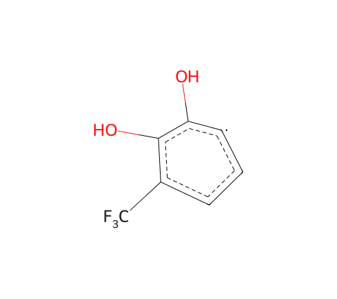 Oc1[c]ccc(C(F)(F)F)c1O